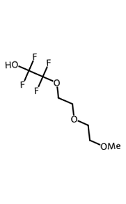 COCCOCCOC(F)(F)C(O)(F)F